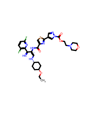 CCO[C@H]1CC[C@H](N/C=C(/NC(=O)c2csc(-c3cnn(C(=O)OCCN4CCOCC4)c3)n2)C(=N)c2nc(F)ccc2F)CC1